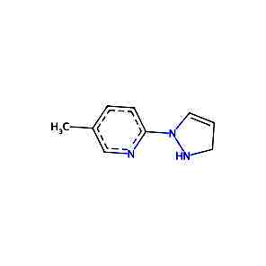 Cc1ccc(N2C=CCN2)nc1